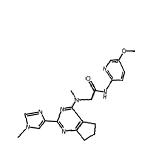 COc1ccc(NC(=O)CN(C)c2nc(-c3cn(C)cn3)nc3c2CCC3)nc1